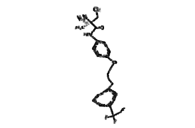 C[C@](N)(CO)C(=O)Nc1ccc(OCCc2cccc(C(F)(F)F)c2)cc1